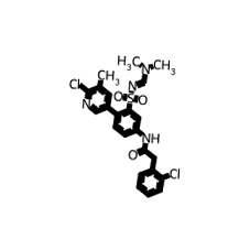 Cc1cc(-c2ccc(NC(=O)Cc3ccccc3Cl)cc2S(=O)(=O)/N=C/N(C)C)cnc1Cl